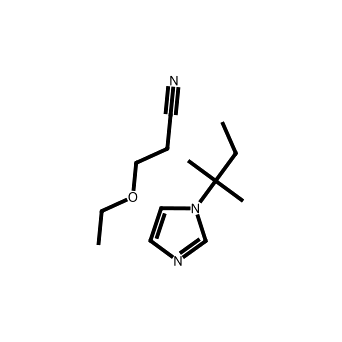 CCC(C)(C)n1ccnc1.CCOCCC#N